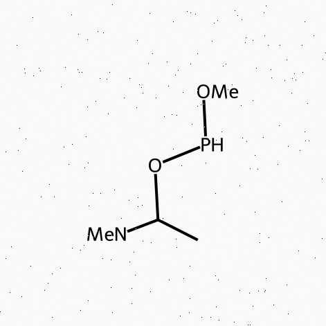 CNC(C)OPOC